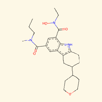 CCCN(C)C(=O)c1cc(C(=O)N(O)CC)c2[nH]c3c(c2c1)CC(C1CCOCC1)CC3